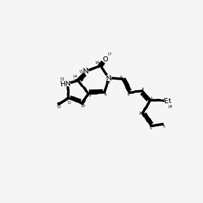 C\C=C/C(=C\C=C\n1cc2cc(C)[nH]c2nc1=O)CC